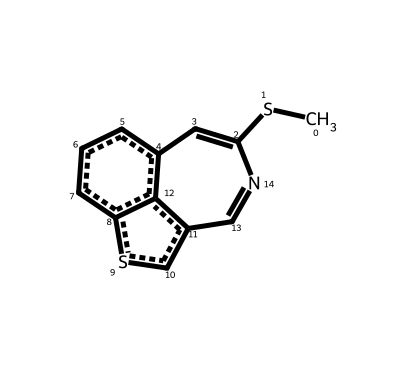 CSC1=Cc2cccc3scc(c23)C=N1